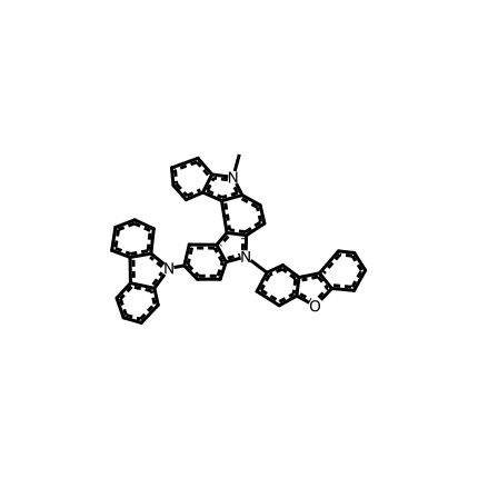 Cn1c2ccccc2c2c3c4cc(-n5c6ccccc6c6ccccc65)ccc4n(-c4ccc5oc6ccccc6c5c4)c3ccc21